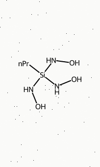 CCC[Si](NO)(NO)NO